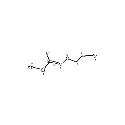 CCO/C(C)=N/OCCBr